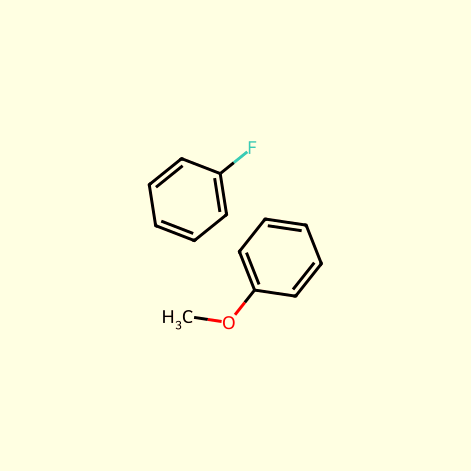 COc1ccccc1.Fc1ccccc1